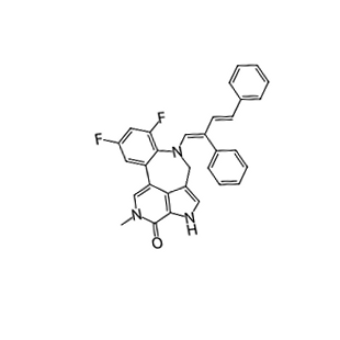 Cn1cc2c3c(c[nH]c3c1=O)CN(C=C(C=Cc1ccccc1)c1ccccc1)c1c(F)cc(F)cc1-2